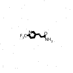 NC(=O)C[CH]c1ccc(C(F)(F)F)nc1